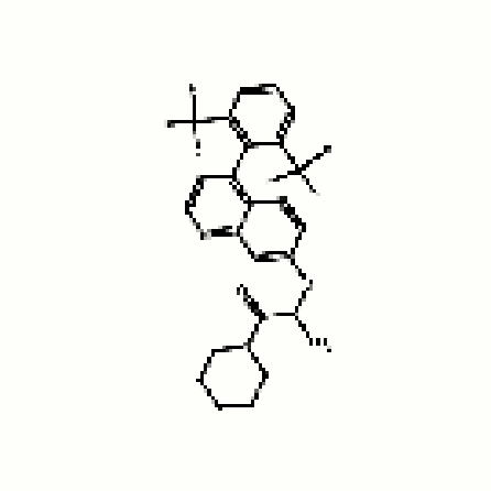 CC(Oc1ccc2c(-c3c(C(F)(F)F)cccc3C(F)(F)F)ccnc2c1)C(=O)N1CCCCC1